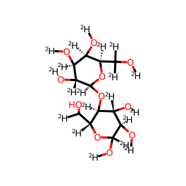 [2H]OC1([2H])O[C@]([2H])(C([2H])O)[C@@]([2H])(O[C@]2([2H])O[C@]([2H])(C([2H])([2H])O[2H])[C@]([2H])(O[2H])[C@]([2H])(O[2H])[C@@]2([2H])O[2H])[C@]([2H])(O[2H])[C@@]1([2H])O[2H]